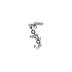 COC(=O)NC1CC1c1ccc(C(=N)/N=C\Nc2ccc(OC(F)(F)F)cc2)cc1